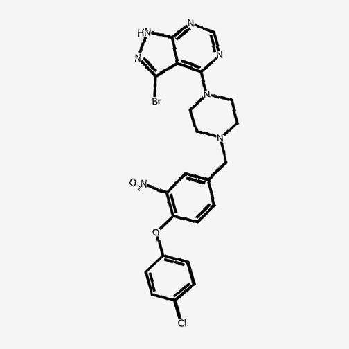 O=[N+]([O-])c1cc(CN2CCN(c3ncnc4[nH]nc(Br)c34)CC2)ccc1Oc1ccc(Cl)cc1